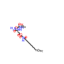 CCCCCCCCCCCCCCCCCCCCCC(=O)NCC(=O)OC(=O)CC[C@@H](NC(=O)[C@H](CO)NC(C)(C)C)C(N)=O